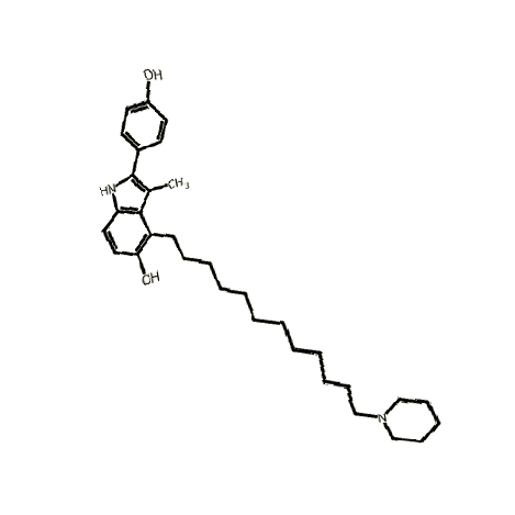 Cc1c(-c2ccc(O)cc2)[nH]c2ccc(O)c(CCCCCCCCCCCCN3CCCCC3)c12